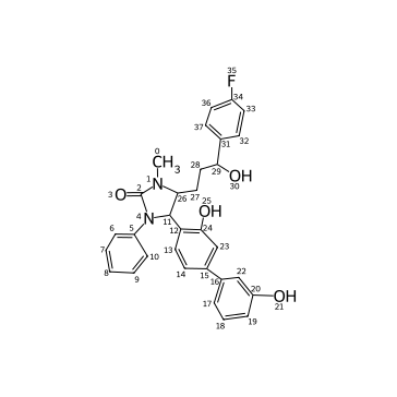 CN1C(=O)N(c2ccccc2)C(c2ccc(-c3cccc(O)c3)cc2O)C1CCC(O)c1ccc(F)cc1